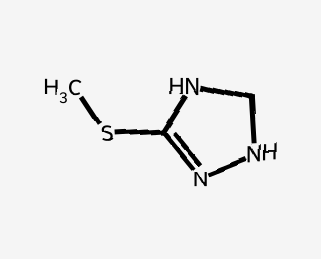 CSC1=NNCN1